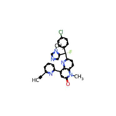 C#Cc1cccc(-c2cc(=O)n(C)c3ccc([C@](F)(c4ccc(Cl)cc4)c4cncn4C)nc23)n1